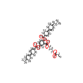 C=CC(=O)OCCCCOC(=O)c1cc(OC(=O)C2CCC(C3CCC(CC)CC3)CC2)ccc1OC(=O)C1CCC(C2CCC(CCCC)CC2)CC1